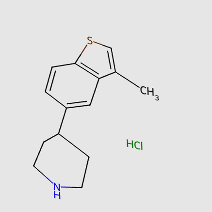 Cc1csc2ccc(C3CCNCC3)cc12.Cl